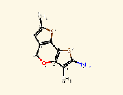 Cc1cc2c(s1)-c1sc(N)c(C)c1OC2